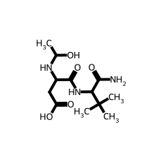 CC(O)NC(CC(=O)O)C(=O)NC(C(N)=O)C(C)(C)C